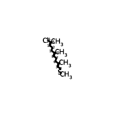 CSC/C=C(\C)CC/C=C(\C)CC/C=C(\C)Cl